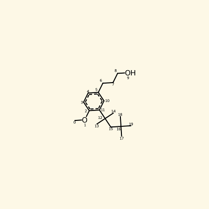 COc1ccc(CCCO)cc1C(C)(C)CC(C)(C)C